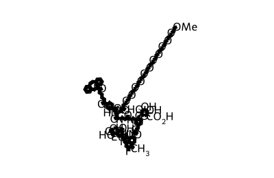 CC[C@@]1(O)C(=O)OCc2c1cc1n(c2=O)Cc2c-1nc1cc(F)c(C)c3c1c2[C@@H](NC(=O)OCc1ccc(O[C@@H]2O[C@H](C(=O)O)[C@@H](O)[C@H](O)[C@H]2O)c(CNC(=O)CCNC(=O)[C@H](CNC(=O)CCOCCOCCOCCOCCOCCOCCOCCOCCOCCOCCOCCOC)NC(=O)C2CCN(C(=O)CCCCC(=O)N4Cc5ccccc5/C=C\c5ccccc54)CC2)c1)CC3